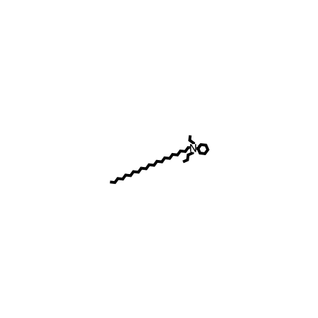 CCCCCCCCCCCCCCCCCCCCC[N+](CCC)(CCCC)C1CCCCC1